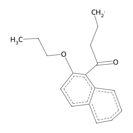 [CH2]CCC(=O)c1c(OCCC)ccc2ccccc12